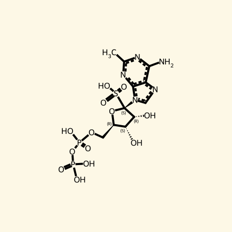 Cc1nc(N)c2ncn([C@]3(S(=O)(=O)O)O[C@H](COP(=O)(O)OP(=O)(O)O)[C@@H](O)[C@H]3O)c2n1